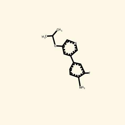 CC(C)Oc1cncc(-c2ccc(N)c(F)c2)c1